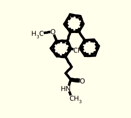 CNC(=O)CCc1ccc(OC)c(-c2ccccc2-c2ccccc2)c1C